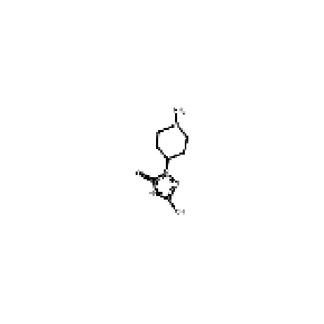 Cc1nn(C2CCN(N)CC2)c(=O)[nH]1